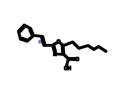 CCCCCCc1oc(/C=C/c2ccccc2)nc1C(=O)O